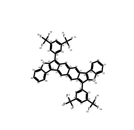 FC(F)(F)c1cc(C2=c3cc4cc5c(cc4cc3-c3c2oc2ccccc32)=C(c2cc(C(F)(F)F)cc(C(F)(F)F)c2)c2sc3ccccc3c2-5)cc(C(F)(F)F)c1